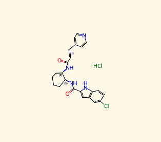 Cl.O=C(/C=C/c1ccncc1)N[C@@H]1CCCC[C@@H]1NC(=O)c1cc2cc(Cl)ccc2[nH]1